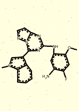 COc1cc(F)c(N)cc1Nc1nc(-c2cn(C)c3ccccc23)n2nccc2n1